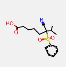 CC(C)C(C#N)(CCCCC(=O)O)S(=O)(=O)c1ccccc1